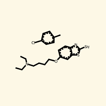 CCN(CC)CCCCOc1ccc2nc(S)sc2c1.Cc1ccc(Cl)cc1